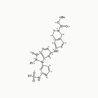 CCS(=O)(=O)Nc1cc(-n2c3nc(Nc4ccc5c(c4)CCN(C(=O)OC(C)(C)C)C5)ncc3c(=O)n2C(C)C)ccn1